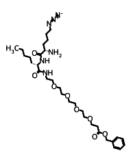 CCCCC[C@H](NC(=O)[C@@H](N)CCCCN=[N+]=[N-])C(=O)NCCOCCOCCOCCOCCC(=O)OCc1ccccc1